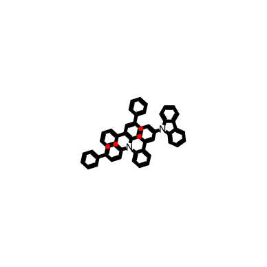 c1ccc(-c2ccc(N(c3ccccc3-c3cccc(-n4c5ccccc5c5ccccc54)c3)c3ccc(-c4ccccc4)cc3-c3ccccc3)cc2)cc1